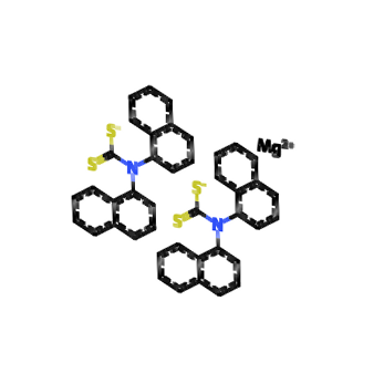 S=C([S-])N(c1cccc2ccccc12)c1cccc2ccccc12.S=C([S-])N(c1cccc2ccccc12)c1cccc2ccccc12.[Mg+2]